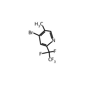 Cc1cnc(C(F)(F)C(F)(F)F)cc1Br